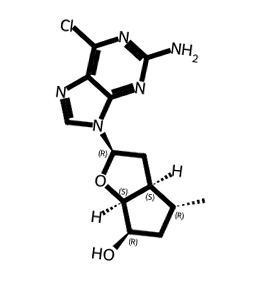 C[C@@H]1C[C@@H](O)[C@H]2O[C@@H](n3cnc4c(Cl)nc(N)nc43)C[C@H]21